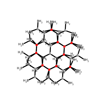 BBB(B)B(B(B(B)B)B(B)B)B(B(B(B)B)B(B)B)B(B(B(B(B(B)B)B(B)B)B(B(B)B)B(B)B)B(B(B(B)B)B(B)B)B(B(B)B)B(B)B)B(B(B(B(B)B)B(B)B)B(B(B)B)B(B)B)B(B(B(B)B)B(B)B)B(B(B)B)B(B)B